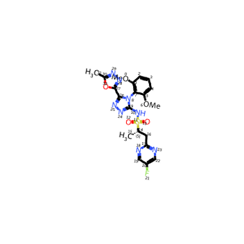 COc1cccc(OC)c1-n1c(NS(=O)(=O)[C@@H](C)Cc2ncc(F)cn2)nnc1-c1nnc(C)o1